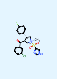 C[N@+]1(S(=O)(=O)c2c[nH]cn2)CC(C(=O)c2cccc(Cl)c2)[C@H](c2ccc(F)cc2)C1